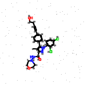 Cc1c(C(=O)NN2CCOCC2)nn(-c2ccc(Cl)cc2Cl)c1-c1ccc(C#CCCO)cc1